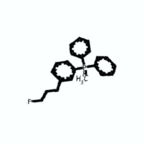 C[PH](c1ccccc1)(c1ccccc1)c1cccc(CCCF)c1